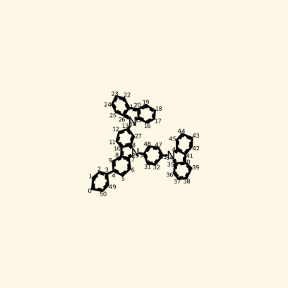 c1ccc(-c2ccc3c(c2)c2ccc(-n4c5ccccc5c5ccccc54)cc2n3-c2ccc(-n3c4ccccc4c4ccccc43)cc2)cc1